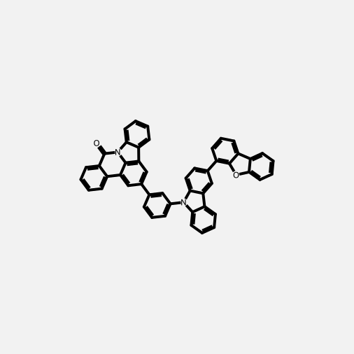 O=c1c2ccccc2c2cc(-c3cccc(-n4c5ccccc5c5cc(-c6cccc7c6oc6ccccc67)ccc54)c3)cc3c4ccccc4n1c23